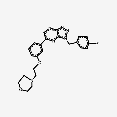 Fc1ccc(Cn2nnc3ncc(-c4cccc(OCCN5CCOCC5)c4)nc32)cc1